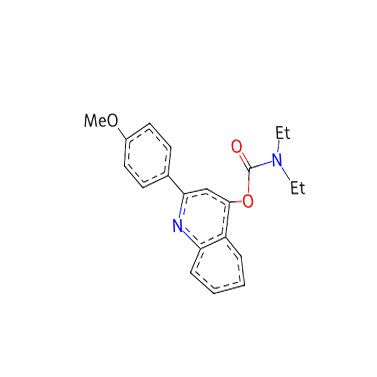 CCN(CC)C(=O)Oc1cc(-c2ccc(OC)cc2)nc2ccccc12